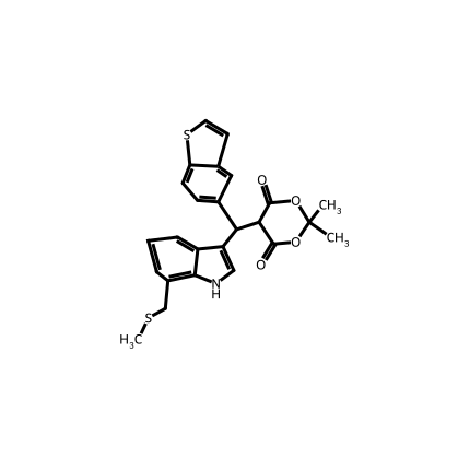 CSCc1cccc2c(C(c3ccc4sccc4c3)C3C(=O)OC(C)(C)OC3=O)c[nH]c12